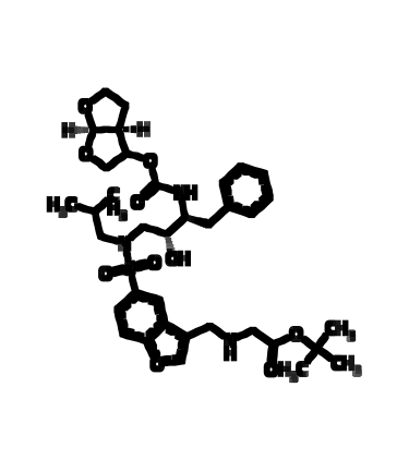 CC(C)CN(C[C@@H](O)[C@H](Cc1ccccc1)NC(=O)OC1CO[C@H]2OCC[C@@H]12)S(=O)(=O)c1ccc2occ(CNCC(=O)OC(C)(C)C)c2c1